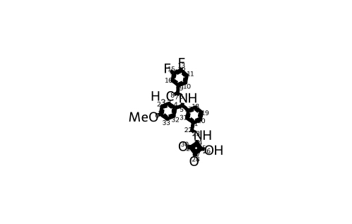 COc1ccc(C(NC(C)c2ccc(F)c(F)c2)c2cccc(CNc3c(O)c(=O)c3=O)c2)cc1